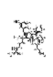 Cc1cc(O)cc(C)c1CC(NC(=O)C(N)CCCNC(=N)N)C(=O)N[C@@H](CCCCN)C1(Cc2ccccc2)N=CON1